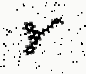 NCCCCCCCCN(OCC1CCCCC1)C(=S)NC1CCCCC1